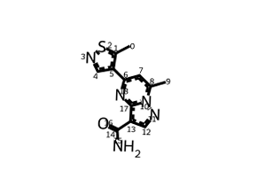 Cc1sncc1-c1cc(C)n2ncc(C(N)=O)c2n1